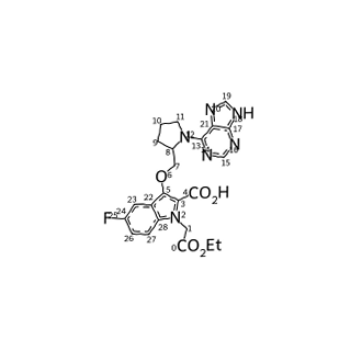 CCOC(=O)Cn1c(C(=O)O)c(OCC2CCCN2c2ncnc3[nH]cnc23)c2cc(F)ccc21